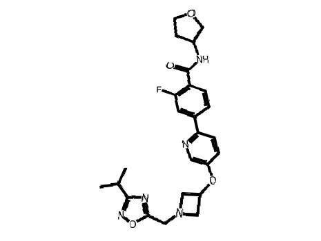 CC(C)c1noc(CN2CC(Oc3ccc(-c4ccc(C(=O)NC5CCOC5)c(F)c4)nc3)C2)n1